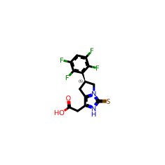 O=C(O)Cc1[nH]c(=S)n2c1C[C@@H](c1c(F)c(F)cc(F)c1F)C2